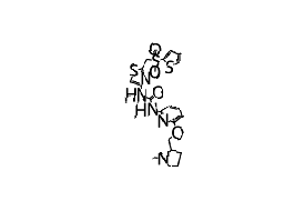 CN1CCCC1COc1cccc(NC(=O)Nc2csc(CS(=O)(=O)c3cccs3)n2)n1